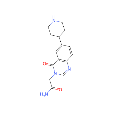 NC(=O)Cn1cnc2ccc(C3CCNCC3)cc2c1=O